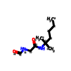 CCCCC(C)(C)NC(=O)CNC=O